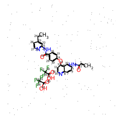 C=CC(=O)Nc1ccc2nccc(Oc3ccc(C(=O)Nc4cc(CC)ccn4)cc3)c2c1.O=C(O)C(F)(F)F.O=C(O)C(F)(F)F